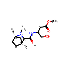 COC(=O)CC(CO)NC(=O)C1[C@H]2CC[C@H](C2)N1C